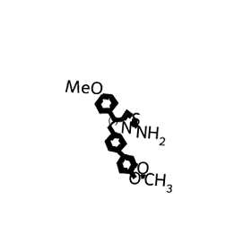 COc1ccc([C@H](Cc2ccc(-c3ccc4c(c3)OC(C)O4)cc2)c2csc(N)n2)cc1